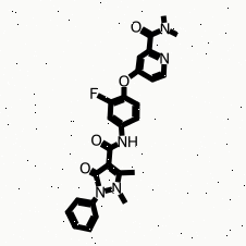 Cc1c(C(=O)Nc2ccc(Oc3ccnc(C(=O)N(C)C)c3)c(F)c2)c(=O)n(-c2ccccc2)n1C